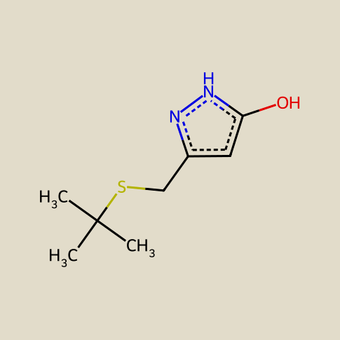 CC(C)(C)SCc1cc(O)[nH]n1